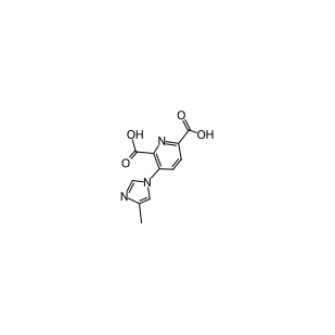 Cc1cn(-c2ccc(C(=O)O)nc2C(=O)O)cn1